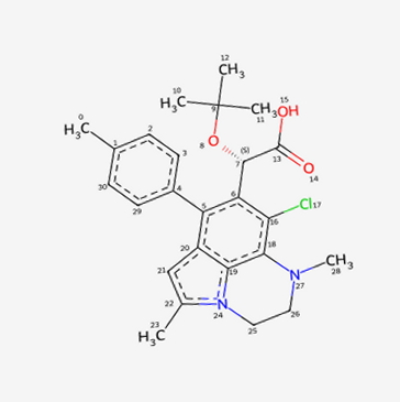 Cc1ccc(-c2c([C@H](OC(C)(C)C)C(=O)O)c(Cl)c3c4c2cc(C)n4CCN3C)cc1